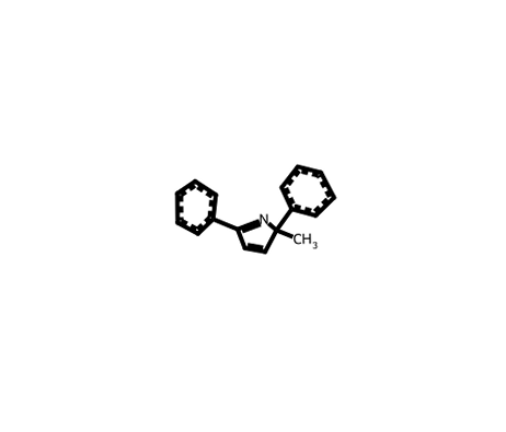 CC1(c2ccccc2)C=CC(c2ccccc2)=N1